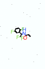 C=CC(=O)NC(c1cc(F)ccc1F)C(F)F